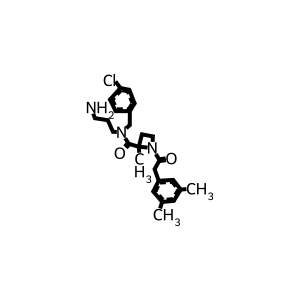 Cc1cc(C)cc(CC(=O)N2CCC2(C)C(=O)N(CCCN)Cc2ccc(Cl)cc2)c1